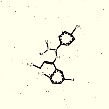 CC/C=C(/NN(c1ccc(C)cc1)N(C)C)c1cc(Cl)ccc1C